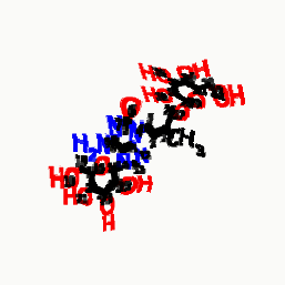 C/C(=C/Cn1c(=O)nc(N)c2c1ncn2[C@@H]1O[C@H](CO)[C@@H](O)[C@H](O)[C@H]1O)CO[C@@H]1O[C@H](CO)[C@@H](O)[C@H](O)[C@H]1O